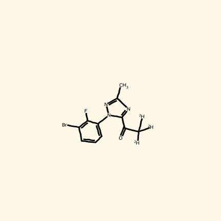 [2H]C([2H])([2H])C(=O)c1nc(C)nn1-c1cccc(Br)c1F